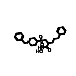 O=C(NO)C(CCCc1ccccc1)CS(=O)(=O)C1CCN(Cc2ccccc2)CC1